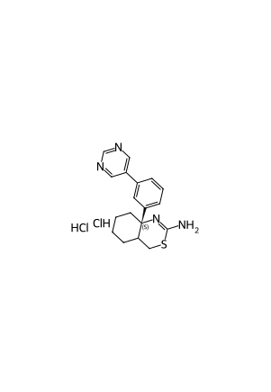 Cl.Cl.NC1=N[C@@]2(c3cccc(-c4cncnc4)c3)CCCCC2CS1